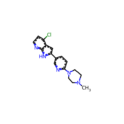 CN1CCN(c2ccc(-c3cc4c(Cl)ccnc4[nH]3)cn2)CC1